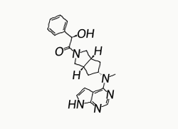 CN(c1ncnc2[nH]ccc12)[C@@H]1C[C@@H]2CN(C(=O)[C@H](O)c3ccccc3)C[C@@H]2C1